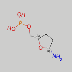 N[C@H]1CC[C@@H](COP(O)O)O1